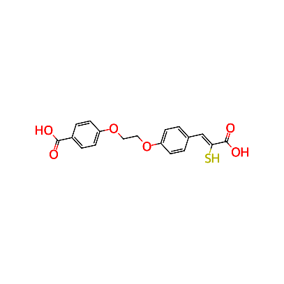 O=C(O)C(S)=Cc1ccc(OCCOc2ccc(C(=O)O)cc2)cc1